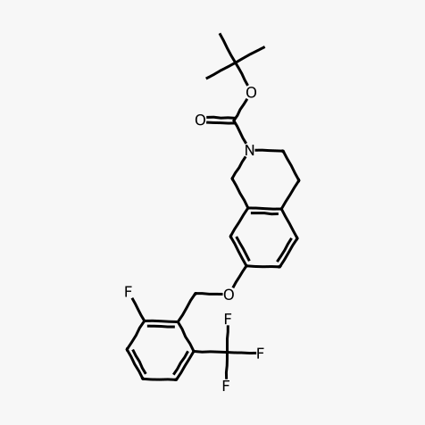 CC(C)(C)OC(=O)N1CCc2ccc(OCc3c(F)cccc3C(F)(F)F)cc2C1